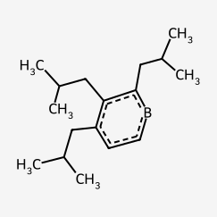 CC(C)Cc1bccc(CC(C)C)c1CC(C)C